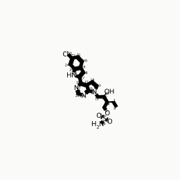 CC[C@@H](COS(N)(=O)=O)[C@@H](O)Cn1ccc2c(-c3cc4ccc(Cl)cc4[nH]3)ncnc21